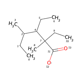 CCC(C)C(CC)C(C)(CC)C([O])=O